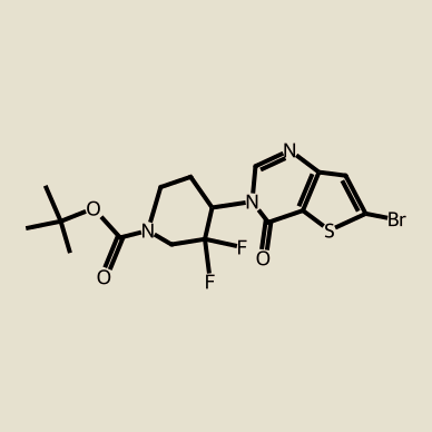 CC(C)(C)OC(=O)N1CCC(n2cnc3cc(Br)sc3c2=O)C(F)(F)C1